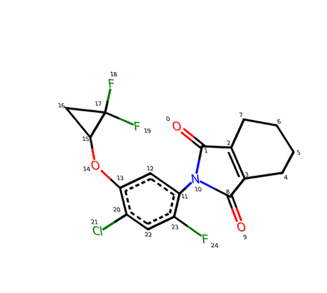 O=C1C2=C(CCCC2)C(=O)N1c1cc(OC2CC2(F)F)c(Cl)cc1F